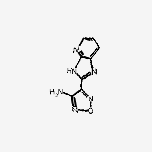 Nc1nonc1-c1nc2cccnc2[nH]1